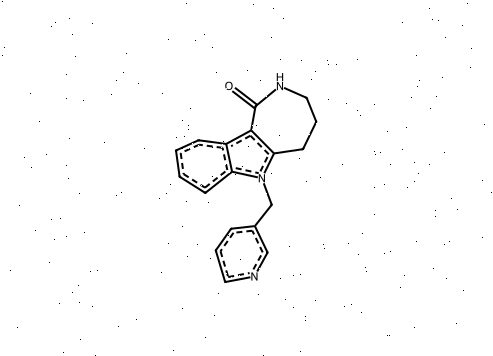 O=C1NCCCc2c1c1ccccc1n2Cc1cccnc1